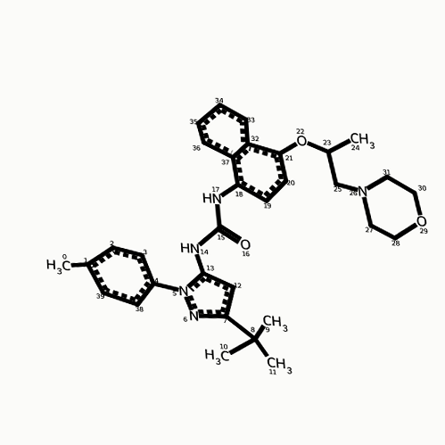 Cc1ccc(-n2nc(C(C)(C)C)cc2NC(=O)Nc2ccc(OC(C)CN3CCOCC3)c3ccccc23)cc1